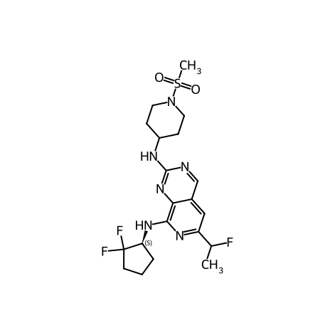 CC(F)c1cc2cnc(NC3CCN(S(C)(=O)=O)CC3)nc2c(N[C@H]2CCCC2(F)F)n1